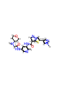 Cc1ncc(NC(=O)CN(C)C2CCOCC2)cc1NC(=O)c1cnn2cc(-c3cnn(C)c3)sc12